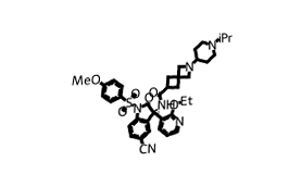 CCOc1ncccc1[C@]1(NC(=O)C2CC3(C2)CN(C2CCN(C(C)C)CC2)C3)C(=O)N(S(=O)(=O)c2ccc(OC)cc2)c2ccc(C#N)cc21